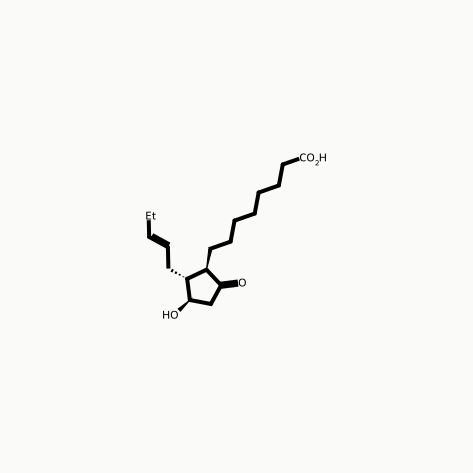 CC/C=C/C[C@H]1[C@H](O)CC(=O)[C@@H]1CCCCCCCC(=O)O